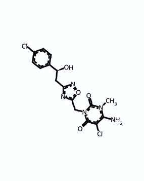 Cn1c(N)c(Cl)c(=O)n(Cc2nc(C[C@H](O)c3ccc(Cl)cc3)no2)c1=O